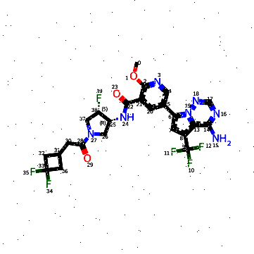 COc1ncc(-c2cc(C(F)(F)F)c3c(N)ncnn23)cc1C(=O)N[C@@H]1CN(C(=O)CC2CC(F)(F)C2)C[C@@H]1F